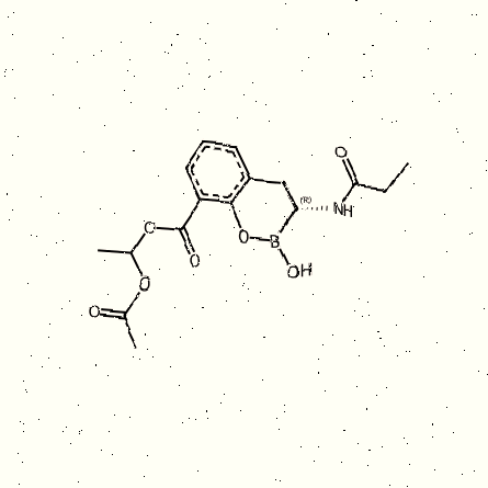 CCC(=O)N[C@H]1Cc2cccc(C(=O)OC(C)OC(C)=O)c2OB1O